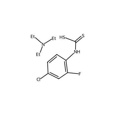 CCN(CC)CC.Fc1cc(Cl)ccc1NC(=S)S